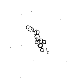 Cc1ccc(S(=O)(=O)N2CCC3(CC2)CC(N2CCOCC2)CO3)c(Cl)c1